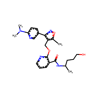 Cc1onc(-c2ccc(N(C)C)nc2)c1COc1ncccc1C(=O)NC(C)CCCO